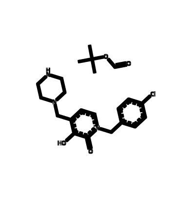 CC(C)(C)OC=O.O=c1c(O)c(CN2CCNCC2)ccn1Cc1ccc(Cl)cc1